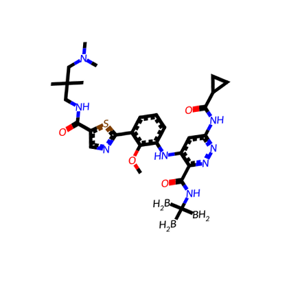 BC(B)(B)NC(=O)c1nnc(NC(=O)C2CC2)cc1Nc1cccc(-c2ncc(C(=O)NCC(C)(C)CN(C)C)s2)c1OC